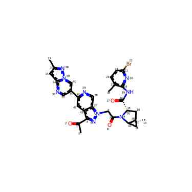 CC(=O)c1nn(CC(=O)N2C3C[C@]3(C)C[C@H]2C(=O)Nc2nc(Br)ccc2C)c2cnc(-c3cnc4cc(C)nn4c3)cc12